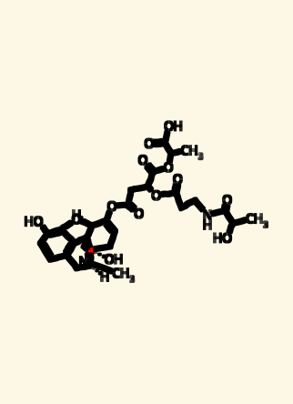 CC(O)C(=O)NCCC(=O)OC(CC(=O)OC1=CC[C@@]2(O)[C@H]3Cc4ccc(O)c5c4[C@@]2(CCN3C)[C@H]1O5)C(=O)OC(C)C(=O)O